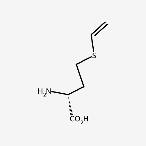 C=CSCC[C@@H](N)C(=O)O